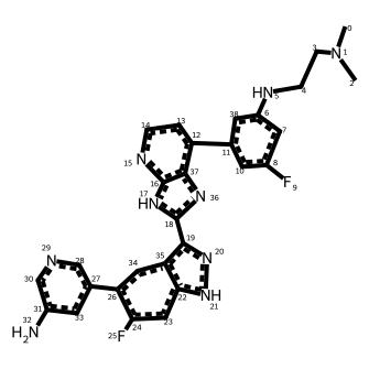 CN(C)CCNc1cc(F)cc(-c2ccnc3[nH]c(-c4n[nH]c5cc(F)c(-c6cncc(N)c6)cc45)nc23)c1